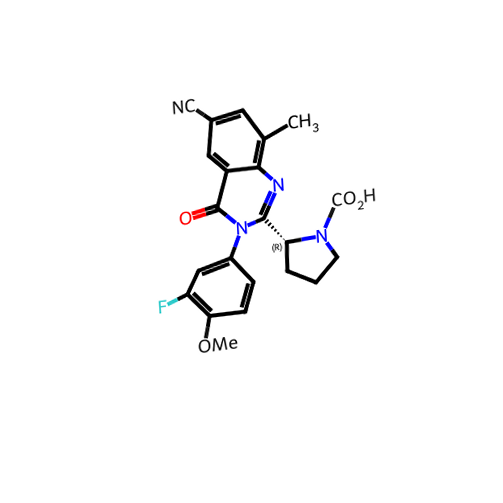 COc1ccc(-n2c([C@H]3CCCN3C(=O)O)nc3c(C)cc(C#N)cc3c2=O)cc1F